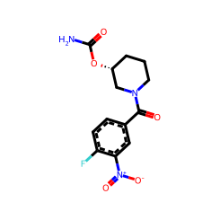 NC(=O)O[C@@H]1CCCN(C(=O)c2ccc(F)c([N+](=O)[O-])c2)C1